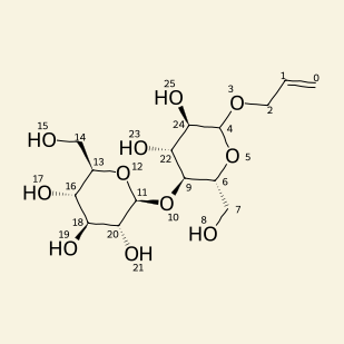 C=CCOC1O[C@H](CO)[C@@H](O[C@@H]2O[C@H](CO)[C@@H](O)[C@H](O)[C@H]2O)[C@H](O)[C@H]1O